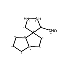 O=CC1NNCC12CCN1CCCC12